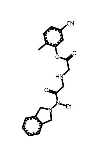 CCN(C(=O)CNCC(=O)Oc1cc(C#N)ccc1C)N1Cc2ccccc2C1